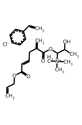 C=CCOC(=O)C=CCC(=C)C(=O)OC(C(C)O)[N+](C)(C)C.C=Cc1ccccc1.[Cl-]